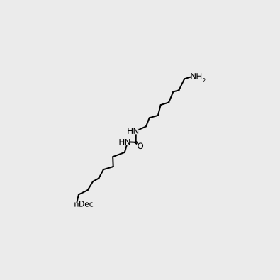 CCCCCCCCCCCCCCCCCCNC(=O)NCCCCCCCCN